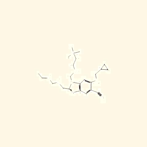 CCOCOCc1nc2cc(C#N)c(OCC3CC3)cc2n1COCC[Si](C)(C)C